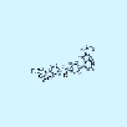 CS(=O)(=O)N(CC(F)(F)F)c1ccc(CC(=O)N2CCN(c3ncnc4sc(CC(F)(F)F)cc34)CC2)cc1